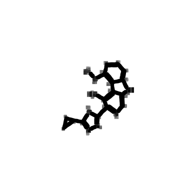 Cc1c(-c2nnc(C3CC3)o2)ncc2[nH]c3cccc(OC(C)C)c3c12